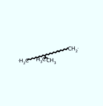 [CH2]CCCCC/C=C/CCCCCCC(CCCCCCCCC[CH2])C(C)CC